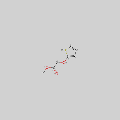 COC(=O)COc1cccs1